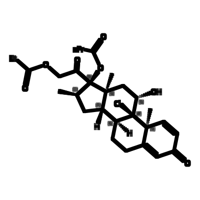 CCCC(=O)O[C@]1(C(=O)COC(=O)CC)[C@H](C)C[C@H]2[C@@H]3CCC4=CC(=O)C=C[C@]4(C)[C@@]3(Cl)[C@@H](O)C[C@@]21C